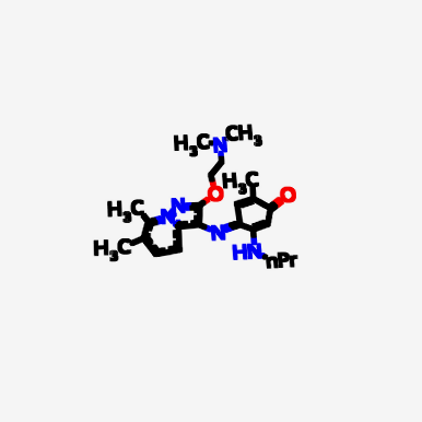 CCCNC1=CC(=O)C(C)=C/C1=N\c1c(OCCN(C)C)nn2c(C)c(C)ccc12